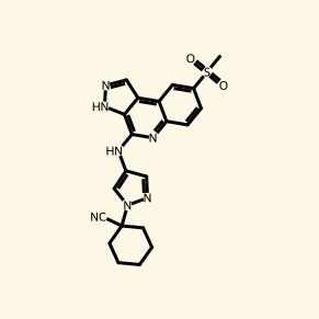 CS(=O)(=O)c1ccc2nc(Nc3cnn(C4(C#N)CCCCC4)c3)c3[nH]ncc3c2c1